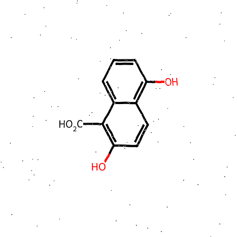 O=C(O)c1c(O)ccc2c(O)cccc12